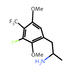 COc1cc(CC(C)N)c(OC)c(F)c1C(F)(F)F